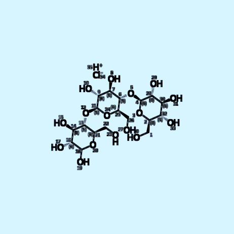 OC[C@H]1O[C@@H](O[C@H]2[C@H](O)[C@@H](O)[C@H](O[C@H]3[C@H](O)[C@@H](O)C(O)O[C@@H]3CO)O[C@@H]2CO)[C@H](O)[C@@H](O)[C@@H]1O.[Cl-].[H+]